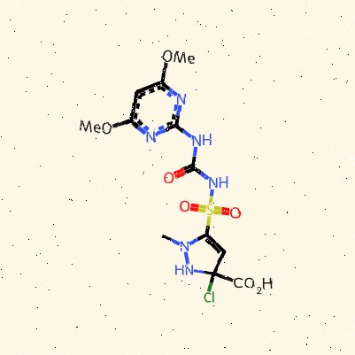 COc1cc(OC)nc(NC(=O)NS(=O)(=O)C2=CC(Cl)(C(=O)O)NN2C)n1